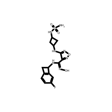 NS(=O)(=O)NC1CC(Nc2nonc2C(=NO)NC2Cc3ccc(F)cc32)C1